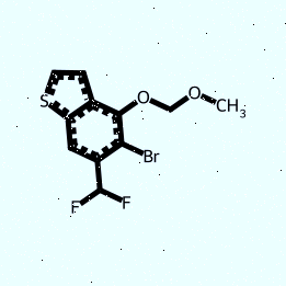 COCOc1c(Br)c(C(F)F)cc2sccc12